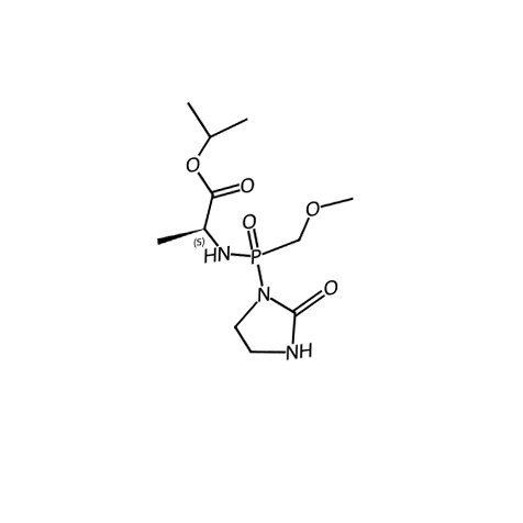 COCP(=O)(N[C@@H](C)C(=O)OC(C)C)N1CCNC1=O